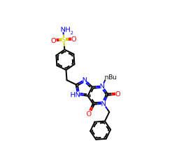 CCCCn1c(=O)n(Cc2ccccc2)c(=O)c2[nH]c(Cc3ccc(S(N)(=O)=O)cc3)nc21